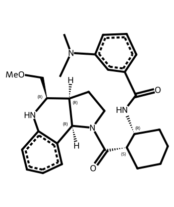 COC[C@@H]1Nc2ccccc2[C@H]2[C@@H]1CCN2C(=O)[C@H]1CCCC[C@H]1NC(=O)c1cccc(N(C)C)c1